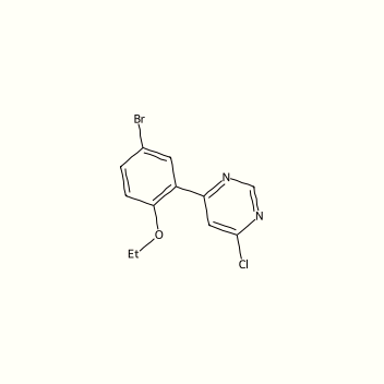 CCOc1ccc(Br)cc1-c1cc(Cl)ncn1